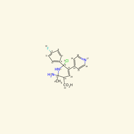 CC1(N)NC(Cl)(c2ccc(F)cc2)C(c2ccncc2)=CC1C(=O)O